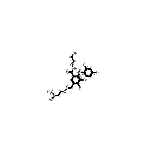 CC(=O)N(C)CCON=Cc1cc(C(=O)NOCCO)c(Nc2ccc(I)cc2F)c(F)c1F